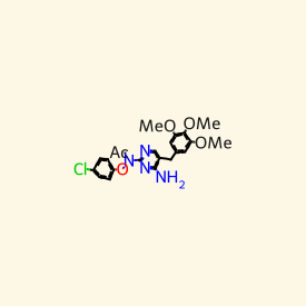 COc1cc(Cc2cnc(N(Oc3ccc(Cl)cc3)C(C)=O)nc2N)cc(OC)c1OC